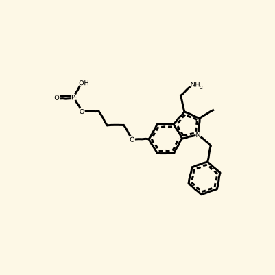 Cc1c(CN)c2cc(OCCCO[P](=O)O)ccc2n1Cc1ccccc1